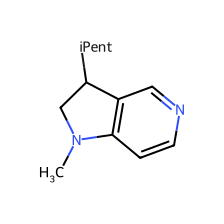 CCCC(C)C1CN(C)c2ccncc21